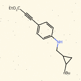 CCCCC1CC1CNc1ccc(C#CC(=O)OCC)cc1